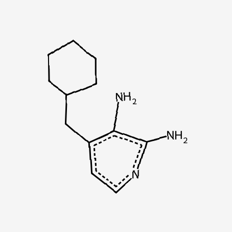 Nc1nccc(CC2CCCCC2)c1N